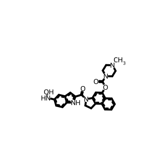 CN1CCN(C(=O)Oc2cc3c(c4ccccc24)CCN3C(=O)c2cc3cc(NO)ccc3[nH]2)CC1